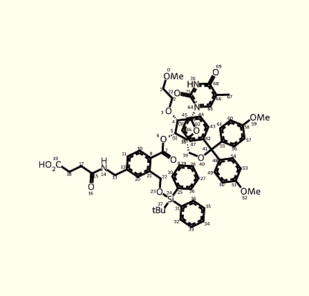 COCCO[C@H]1[C@@H](OC(=O)c2ccc(CNC(=O)CCC(=O)O)cc2CO[Si](c2ccccc2)(c2ccccc2)C(C)(C)C)[C@@H](COC(c2ccccc2)(c2ccc(OC)cc2)c2ccc(OC)cc2)O[C@H]1n1cc(C)c(=O)[nH]c1=O